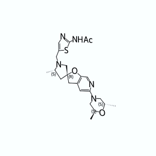 CC(=O)Nc1ncc(CN2C[C@@]3(Cc4cc(N5C[C@H](C)O[C@@H](C)C5)ncc4O3)C[C@@H]2C)s1